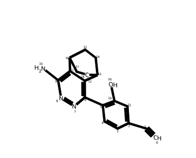 C#Cc1ccc(-c2nnc(N)c3c2C2CCC3CC2)c(O)c1